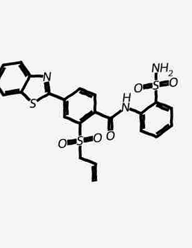 C=CCS(=O)(=O)c1cc(-c2nc3ccccc3s2)ccc1C(=O)Nc1ccccc1S(N)(=O)=O